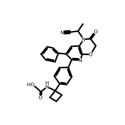 CC(C#N)N1C(=O)COc2nc(-c3ccc(C4(NC(=O)O)CCC4)cc3)c(-c3ccccc3)cc21